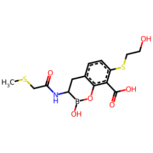 CSCC(=O)NC1Cc2ccc(SCCO)c(C(=O)O)c2OB1O